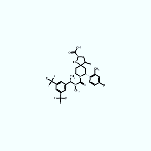 Cc1cc(F)ccc1[C@H]1CC2(CCN1C(=O)N(C)[C@H](C)c1cc(C(F)(F)F)cc(C(F)(F)F)c1)N[C@@H](C(=O)O)CC2I